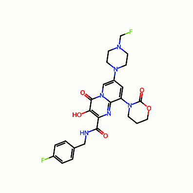 O=C(NCc1ccc(F)cc1)c1nc2c(N3CCCOC3=O)cc(N3CCN(CF)CC3)cn2c(=O)c1O